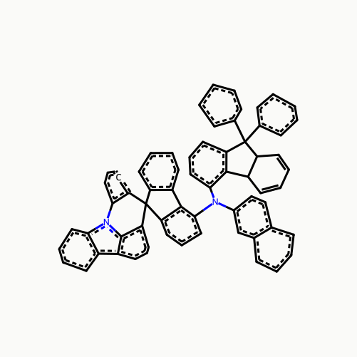 C1=CC2c3c(N(c4ccc5ccccc5c4)c4cccc5c4-c4ccccc4C54c5ccccc5-n5c6ccccc6c6cccc4c65)cccc3C(c3ccccc3)(c3ccccc3)C2C=C1